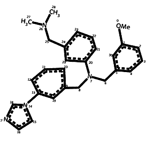 COc1cccc(CN(Cc2cccc(-n3ccnc3)c2)c2cccc(CN(C)C)c2)c1